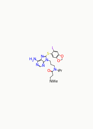 CNCCC(=O)N(CCCn1c(Sc2cc3c(cc2I)OCO3)nc2c(N)ncnc21)C(C)C